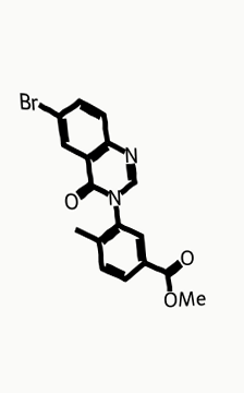 COC(=O)c1ccc(C)c(-n2cnc3ccc(Br)cc3c2=O)c1